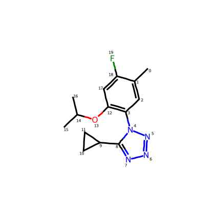 Cc1cc(-n2nnnc2C2CC2)c(OC(C)C)cc1F